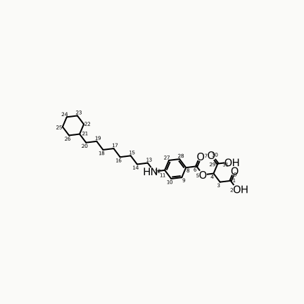 O=C(O)CC(OC(=O)c1ccc(NCCCCCCCCC2CCCCC2)cc1)C(=O)O